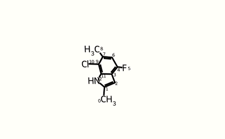 Cc1cc2c(F)cc(C)c(Cl)c2[nH]1